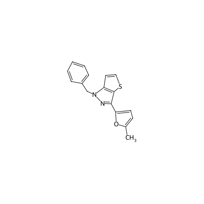 Cc1ccc(-c2nn(Cc3ccccc3)c3ccsc23)o1